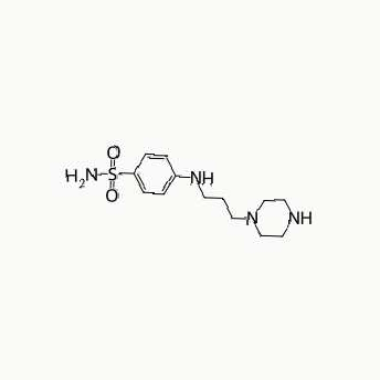 NS(=O)(=O)c1ccc(NCCCN2CCNCC2)cc1